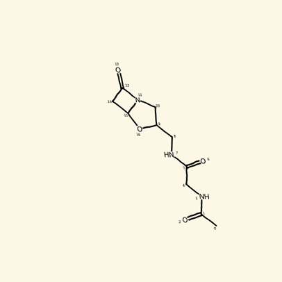 CC(=O)NCC(=O)NCC1CN2C(=O)CC2O1